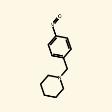 O=Nc1ccc(CN2CCCCC2)cc1